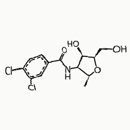 C[C@@H]1O[C@H](CO)[C@H](O)C1NC(=O)c1ccc(Cl)c(Cl)c1